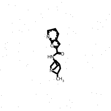 CC1CC2CCN1CC2NC(=O)c1cc2cccnc2o1